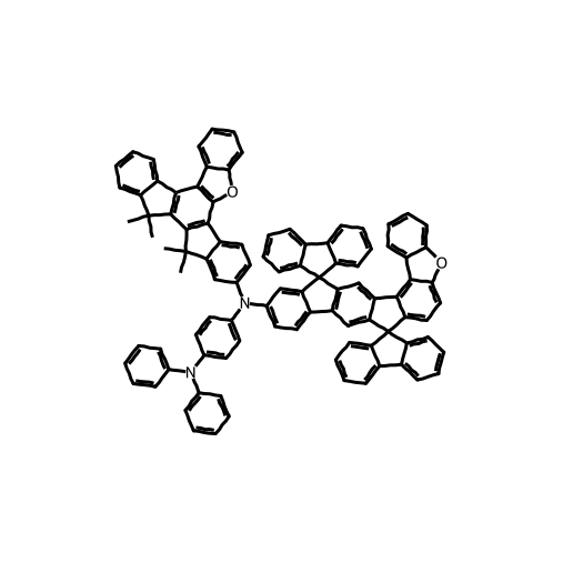 CC1(C)c2cc(N(c3ccc(N(c4ccccc4)c4ccccc4)cc3)c3ccc4c(c3)C3(c5ccccc5-c5ccccc53)c3cc5c(cc3-4)C3(c4ccccc4-c4ccccc43)c3ccc4oc6ccccc6c4c3-5)ccc2-c2c1c1c(c3c2oc2ccccc23)-c2ccccc2C1(C)C